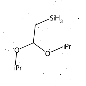 CC(C)OC(C[SiH3])OC(C)C